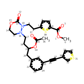 COC(=O)c1ccc(CCN2C(=O)OCCN2CCC(Cc2cccc(C#Cc3ccsc3)c2)OC(C)=O)s1